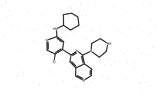 Clc1cnc(NC2CCCCC2)cc1-c1cc2cnccc2c(N2CCNCC2)n1